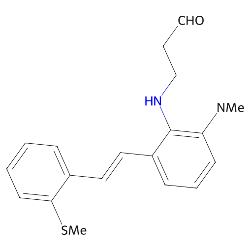 CNc1cccc(/C=C/c2ccccc2SC)c1NCCC=O